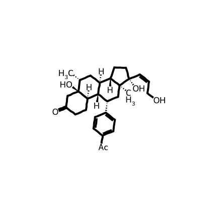 CC(=O)c1ccc([C@H]2C[C@@]3(C)[C@@H](CC[C@@]3(O)/C=C\CO)[C@@H]3C[C@@H](C)[C@@]4(O)CC(=O)CC[C@@H]4[C@H]32)cc1